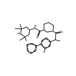 CC(C(=O)N1CCCC(C(=O)NC2CC(C)(C)NC(C)(C)C2)C1)c1ccc(-c2ccccc2)c(F)c1